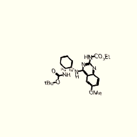 CCOC(=O)Nc1nc(N[C@H]2CCCC[C@H]2NC(=O)OC(C)(C)C)c2cc(OC)ccc2n1